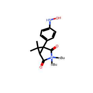 CCCC[N+]1(CCCC)C(=O)C2C(C)(C)C2(c2ccc(NO)cc2)C1=O